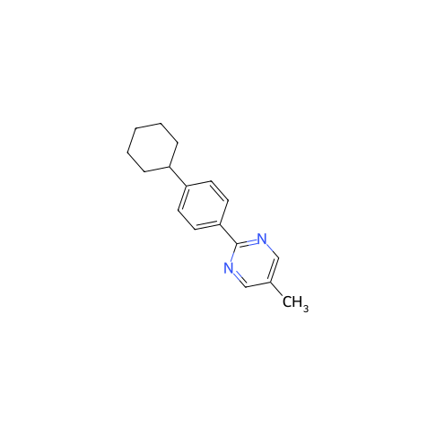 Cc1cnc(-c2ccc(C3CCCCC3)cc2)nc1